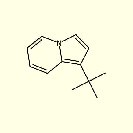 CC(C)(C)c1ccn2ccccc12